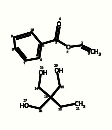 C=COC(=O)c1ccccc1.CCC(CO)(CO)CO